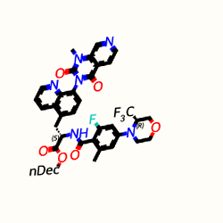 CCCCCCCCCCOC(=O)[C@H](Cc1ccc(-n2c(=O)c3ccncc3n(C)c2=O)c2ncccc12)NC(=O)c1c(C)cc(N2CCOC[C@@H]2C(F)(F)F)cc1F